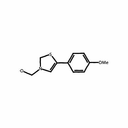 COc1ccc(C2=CN(C[O])CS2)cc1